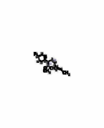 CC#CC/C=C\C(=C(/C)OC)c1ccc(F)cn1